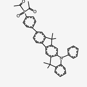 CC(=O)P(=O)(C(C)=O)c1ccc(-c2ccc3c(c2)C(C)(C)c2cc4c(cc2-3)C(C)(C)c2ccccc2N4c2ccccc2)cc1